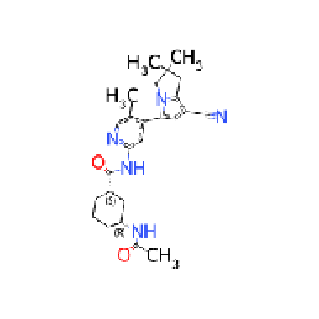 CC(=O)N[C@@H]1CCC[C@H](C(=O)Nc2cc(-c3cc(C#N)c4n3CC(C)(C)C4)c(C)cn2)C1